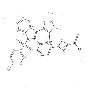 Cc1ccc(S(=O)(=O)n2c(-c3cccc(C45CC(C(=O)O)(C4)C5)c3)c(-c3ccsc3C#N)c3ccccc32)cc1